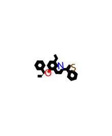 CCc1ccc(O[C@H](CC)c2ccccc2)c2ccc(-c3csc4ccccc34)nc12